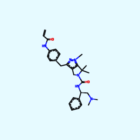 C=CC(=O)Nc1ccc(Cc2nn(C)c3c2CN(C(=O)NC(CN(C)C)c2ccccc2)C3(C)C)cc1